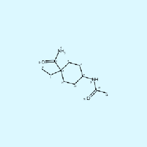 CCC1(C(N)=O)CCC(NC(C)=O)CC1